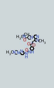 CN1CCN(c2ccc(NC(=O)Nc3ccc4c(c3)C(=O)/C(=C/c3cn(C)c5nccc(N6CCC(C(=O)N(C)C)CC6)c35)O4)cn2)CC1